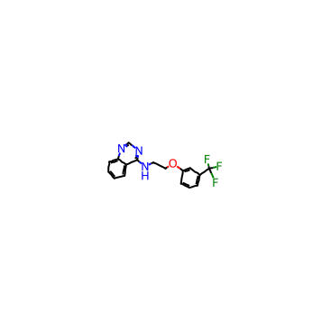 FC(F)(F)c1cccc(OCCNc2ncnc3ccccc23)c1